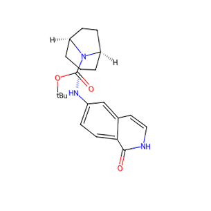 CC(C)(C)OC(=O)N1[C@@H]2CC[C@H]1C[C@H](Nc1ccc3c(=O)[nH]ccc3c1)C2